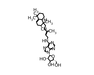 C/C(=C\CNc1ncnc2c1ncn2[C@@H]1O[C@H](CO)C(O)[C@@H]1O)CCC1(C)[C@@H]2CCCC(C)(C)C2=CC[C@@H]1C